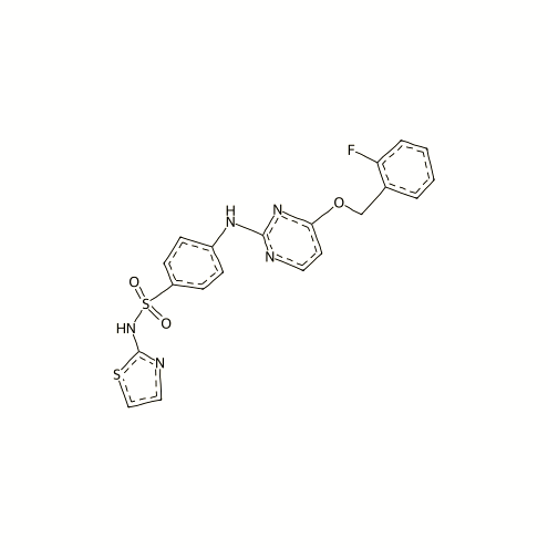 O=S(=O)(Nc1nccs1)c1ccc(Nc2nccc(OCc3ccccc3F)n2)cc1